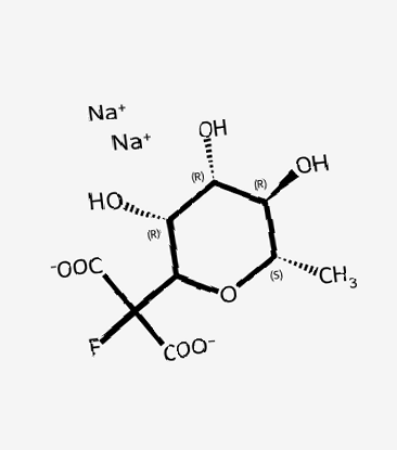 C[C@@H]1OC(C(F)(C(=O)[O-])C(=O)[O-])[C@H](O)[C@H](O)[C@H]1O.[Na+].[Na+]